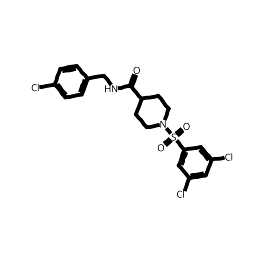 O=C(NCc1ccc(Cl)cc1)C1CCN(S(=O)(=O)c2cc(Cl)cc(Cl)c2)CC1